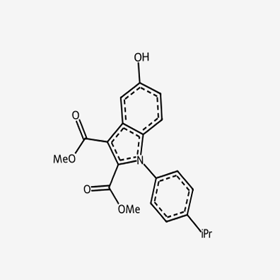 COC(=O)c1c(C(=O)OC)n(-c2ccc(C(C)C)cc2)c2ccc(O)cc12